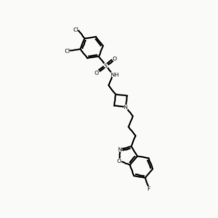 O=S(=O)(NCC1CN(CCCc2noc3cc(F)ccc23)C1)c1ccc(Cl)c(Cl)c1